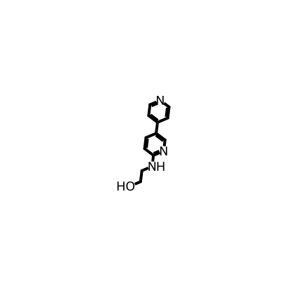 OCCNc1ccc(-c2ccncc2)cn1